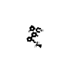 Cc1cc(-c2ccccc2CCNC(=O)C2CC2)ccc1[C@H]1CNCC[C@@H]1c1cc(F)cc(F)c1